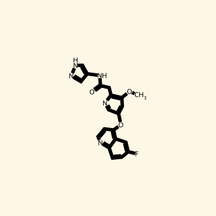 COc1cc(Oc2ccnc3ccc(F)cc23)cnc1CC(=O)Nc1cn[nH]c1